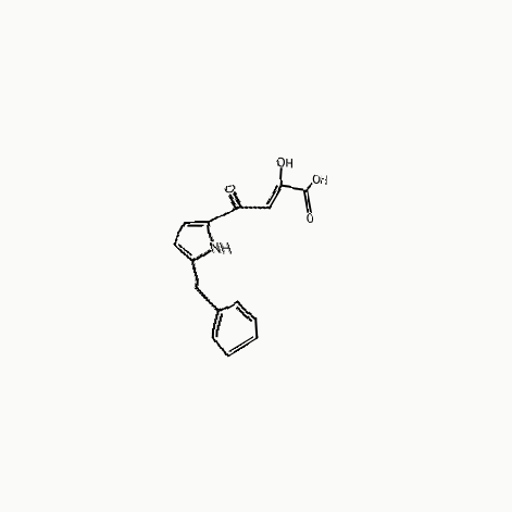 O=C(O)/C(O)=C/C(=O)c1ccc(Cc2ccccc2)[nH]1